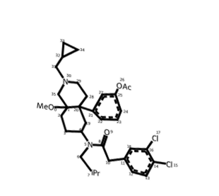 COC12CCC(N(CC(C)C)C(=O)Cc3ccc(Cl)c(Cl)c3)CC1(c1cccc(OC(C)=O)c1)CCN(CC1CC1)C2